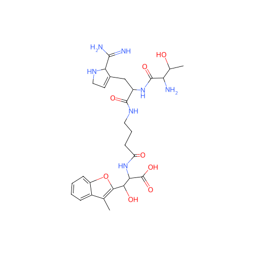 Cc1c(C(O)C(NC(=O)CCCNC(=O)C(CC2=CCNC2C(=N)N)NC(=O)C(N)C(C)O)C(=O)O)oc2ccccc12